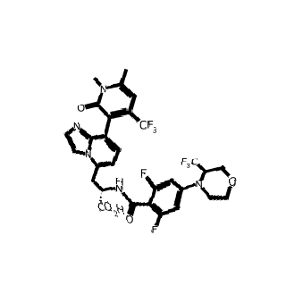 Cc1cc(C(F)(F)F)c(-c2ccc(C[C@H](NC(=O)c3c(F)cc(N4CCOCC4C(F)(F)F)cc3F)C(=O)O)n3ccnc23)c(=O)n1C